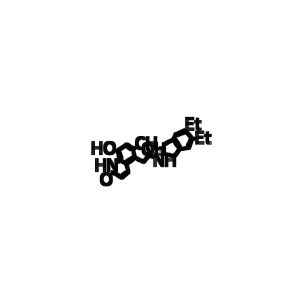 CCc1cc2c(cc1CC)CC(NC(O)Cc1c(C)cc(O)c3[nH]c(=O)ccc13)C2